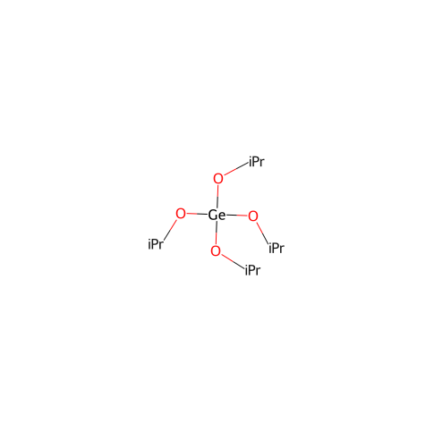 CC(C)[O][Ge]([O]C(C)C)([O]C(C)C)[O]C(C)C